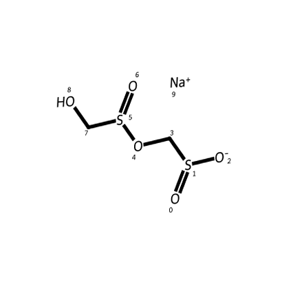 O=S([O-])COS(=O)CO.[Na+]